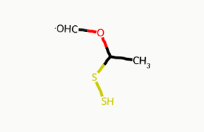 CC(O[C]=O)SS